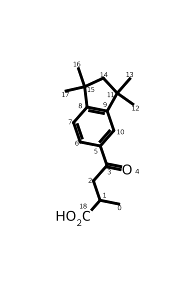 CC(CC(=O)c1ccc2c(c1)C(C)(C)CC2(C)C)C(=O)O